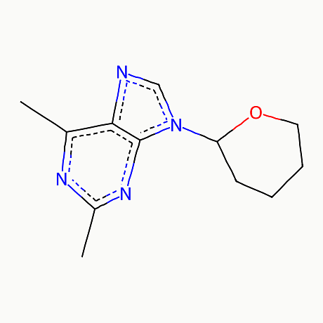 Cc1nc(C)c2ncn(C3CCCCO3)c2n1